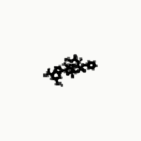 CCN(C)c1nc(N)nc2c1ncn2[C@@H]1O[C@@H]2C(OP(=O)(N[C@@H](C)C(=O)OC(C)C)Oc3ccccc3)[C@]2(O)[C@@]1(C)F